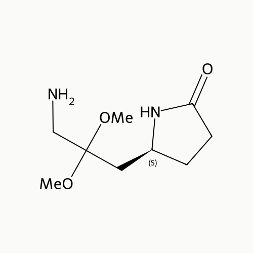 COC(CN)(C[C@@H]1CCC(=O)N1)OC